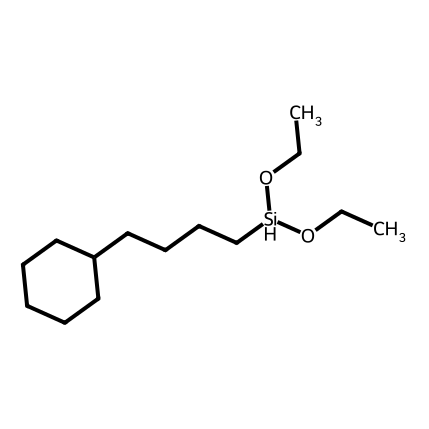 CCO[SiH](CCCCC1CCCCC1)OCC